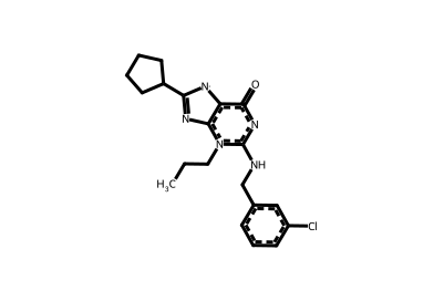 CCCn1c(NCc2cccc(Cl)c2)nc(=O)c2c1N=C(C1CCCC1)[N]2